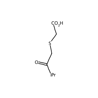 CC(C)C(=O)CSCC(=O)O